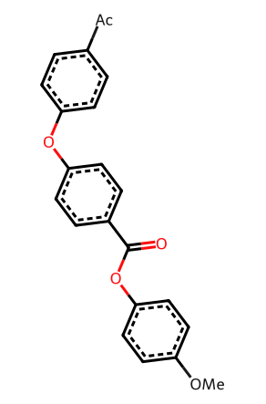 COc1ccc(OC(=O)c2ccc(Oc3ccc(C(C)=O)cc3)cc2)cc1